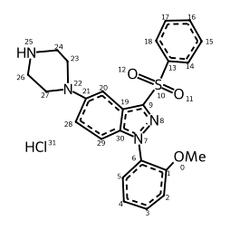 COc1ccccc1-n1nc(S(=O)(=O)c2ccccc2)c2cc(N3CCNCC3)ccc21.Cl